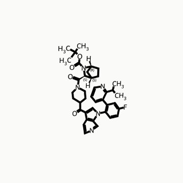 CC(C)c1ncccc1-c1cc(F)ccc1-n1cc(C(=O)C2CCN(C(=O)[C@@H]3[C@H]4CC[C@H](C4)N3C(=O)OC(C)(C)C)CC2)c2ccncc21